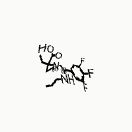 C=CCN[C@@H](C[N@@]1CC1(CC)C(=O)O)c1cc(F)c(F)c(F)c1